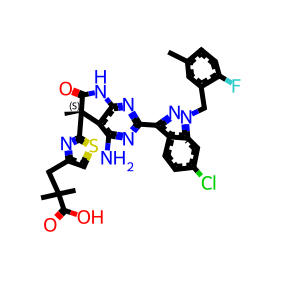 Cc1ccc(F)c(Cn2nc(-c3nc(N)c4c(n3)NC(=O)[C@@]4(C)c3nc(CC(C)(C)C(=O)O)cs3)c3ccc(Cl)cc32)c1